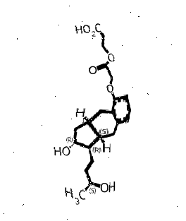 C[C@H](O)CC[C@@H]1[C@H]2Cc3cccc(OCC(=O)OCCC(=O)O)c3C[C@H]2C[C@H]1O